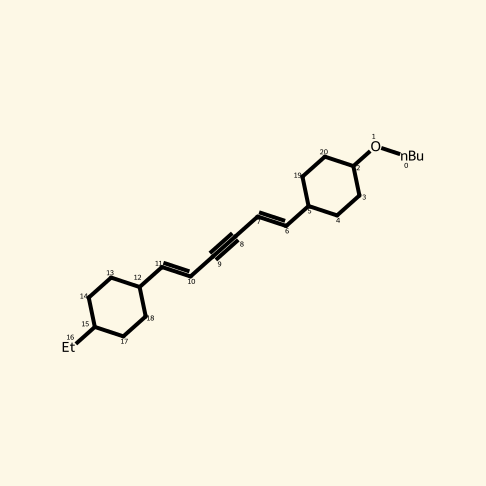 CCCCOC1CCC(C=CC#CC=CC2CCC(CC)CC2)CC1